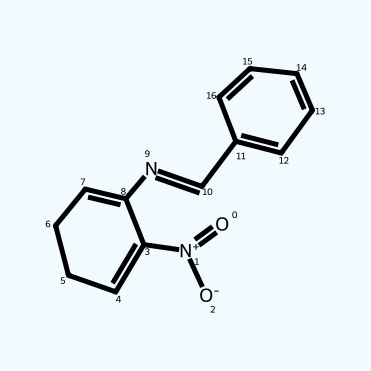 O=[N+]([O-])C1=CCCC=C1/N=C/c1ccccc1